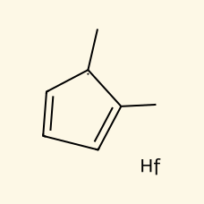 C[C]1C=CC=C1C.[Hf]